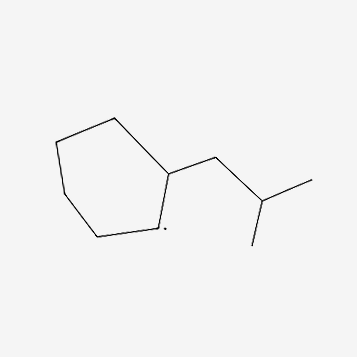 CC(C)CC1[CH]CCCC1